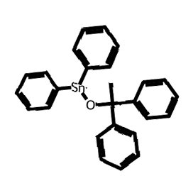 CC([O][Sn]([c]1ccccc1)[c]1ccccc1)(c1ccccc1)c1ccccc1